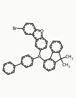 CC1(C)c2ccccc2-c2c(N(c3ccc(-c4ccccc4)cc3)c3ccc4oc5ccc(Br)cc5c4c3)cccc21